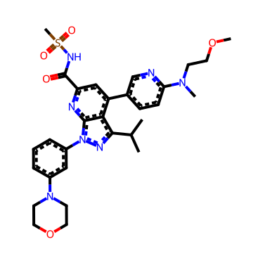 COCCN(C)c1ccc(-c2cc(C(=O)NS(C)(=O)=O)nc3c2c(C(C)C)nn3-c2cccc(N3CCOCC3)c2)cn1